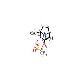 CC(C)(C)C12CCC(C=C(OS(=O)(=O)C(F)(F)F)C1)N2C(=O)O